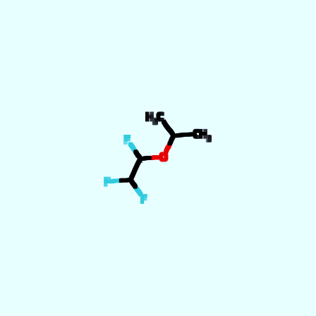 CC(C)O[C](F)C(F)F